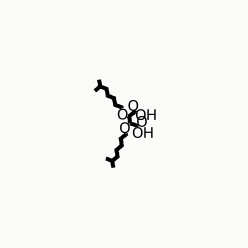 CC(C)CCCCCOC(C(=O)O)C(OCCCCCC(C)C)C(=O)O